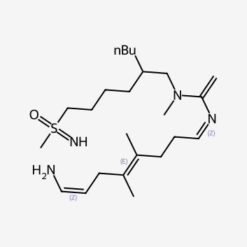 C=C(/N=C\CC/C(C)=C(\C)C/C=C\N)N(C)CC(CCCC)CCCCS(C)(=N)=O